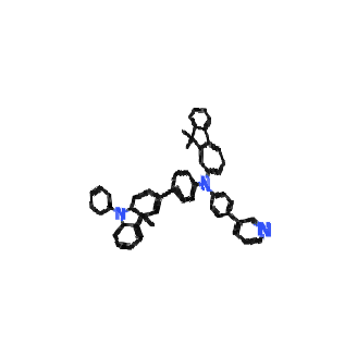 CC1(C)C2=CC(N(c3ccc(C4=CC5(C)c6ccccc6N(C6=CC=CCC6)C5C=C4)cc3)c3ccc(-c4cccnc4)cc3)=CCC=C2c2ccccc21